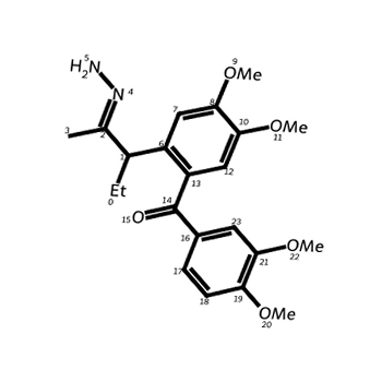 CCC(C(C)=NN)c1cc(OC)c(OC)cc1C(=O)c1ccc(OC)c(OC)c1